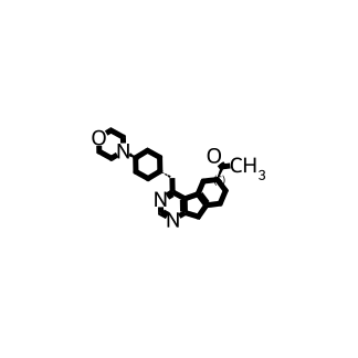 CC(=O)[C@H]1CCC2=C(C1)c1c(ncnc1C[C@H]1CC[C@H](N3CCOCC3)CC1)C2